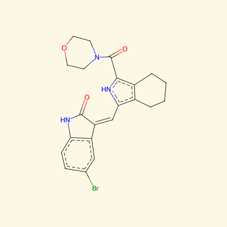 O=C1Nc2ccc(Br)cc2C1=Cc1[nH]c(C(=O)N2CCOCC2)c2c1CCCC2